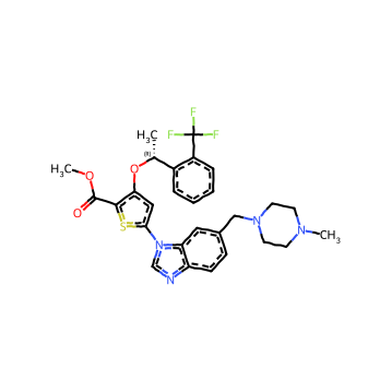 COC(=O)c1sc(-n2cnc3ccc(CN4CCN(C)CC4)cc32)cc1O[C@H](C)c1ccccc1C(F)(F)F